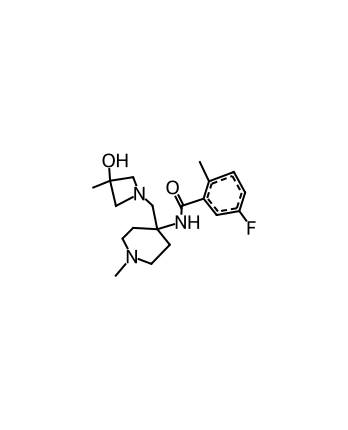 Cc1ccc(F)cc1C(=O)NC1(CN2CC(C)(O)C2)CCN(C)CC1